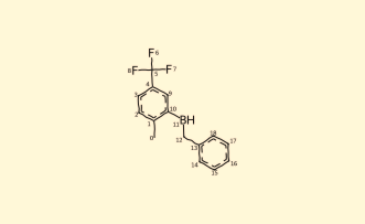 Cc1ccc(C(F)(F)F)cc1BCc1ccccc1